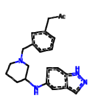 CC(=O)Cc1cccc(CN2CCCC(Nc3ccc4[nH]ncc4c3)C2)c1